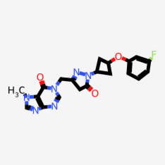 Cn1cnc2ncn(CC3=NN(C4CC(Oc5cccc(F)c5)C4)C(=O)C3)c(=O)c21